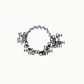 CC1OC(O[C@H]2/C=C/C=C/C=C/C=C/C=C/C=C/C=C/[C@H](C)[C@@H](O)[C@@H](C)[C@H](C)OC(=O)C[C@H](O)C[C@H](O)CC[C@@H](O)[C@H](O)C[C@H](O)C[C@]3(O)C[C@H](O)[C@@H](C(=O)O)C(C2)O3)C(O)CC1O